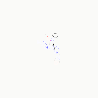 N#Cc1cccc(F)c1-n1cc(-c2cnc(CN3CCOCC3)cn2)c2[nH]nc(N)c2c1=O